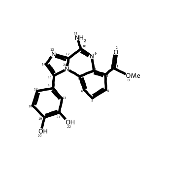 COC(=O)c1cccc2c1nc(N)c1ncc(-c3ccc(O)c(O)c3)n12